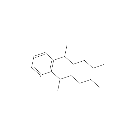 CCCCC(C)c1[c]cccc1C(C)CCCC